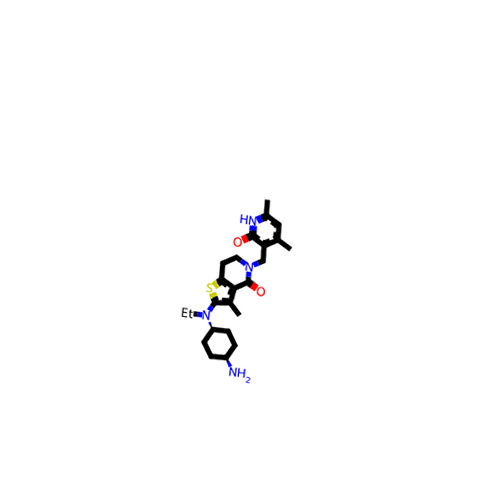 CCN(c1sc2c(c1C)C(=O)N(Cc1c(C)cc(C)[nH]c1=O)CC2)[C@H]1CC[C@H](N)CC1